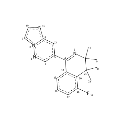 CC1(C)N=C(c2cnn3ccnc3c2)c2cccc(F)c2C1(C)C